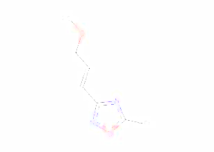 CCOCC=Cc1noc(CC)n1